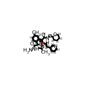 CCC[C@](C(=O)NN)(c1ccc(C)cc1C(C/C=C/c1cccnc1)C(=O)NOC1CCCCO1)S(C)(=O)=O